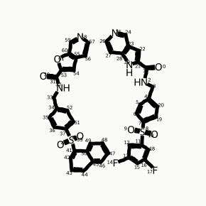 O=C(NCc1ccc(S(=O)(=O)c2cc(F)cc(F)c2)cc1)c1cc2cnccc2[nH]1.O=C(NCc1ccc(S(=O)(=O)c2cccc3ccccc23)cc1)c1cc2ccncc2o1